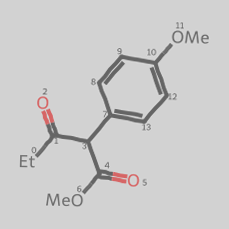 CCC(=O)C(C(=O)OC)c1ccc(OC)cc1